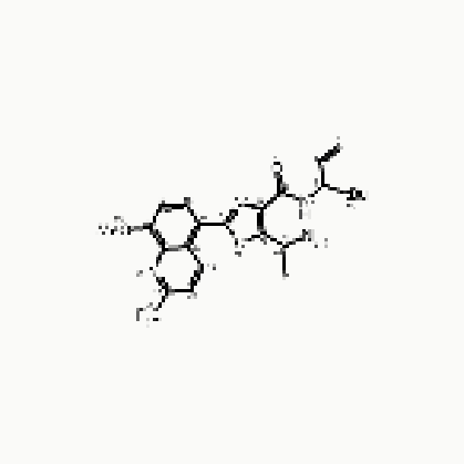 C=CC(NC(=O)c1nc(-c2ccc(OC)c3nc(C(F)(F)F)ccc23)oc1[C@H](C)N)C(C)(C)C